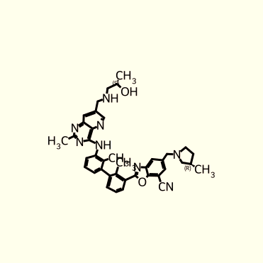 Cc1nc(Nc2cccc(-c3cccc(-c4nc5cc(CN6CC[C@@H](C)C6)cc(C#N)c5o4)c3C)c2C)c2ncc(CNC[C@H](C)O)cc2n1